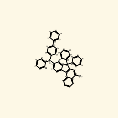 Fc1cc2c(c3ccccc13)-c1ccc(N(c3ccccc3)c3ccc(-c4ccccc4)cc3)cc1C2(c1ccccc1)c1ccccc1